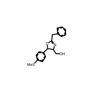 CSc1ccc(C2OC(Cc3ccccc3)=NC2CO)cc1